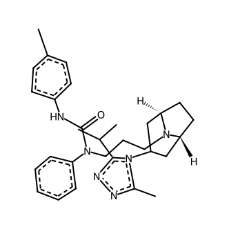 Cc1ccc(NC(=O)N(CCCN2[C@@H]3CC[C@@H]2CC(n2c(C)nnc2C(C)C)C3)c2ccccc2)cc1